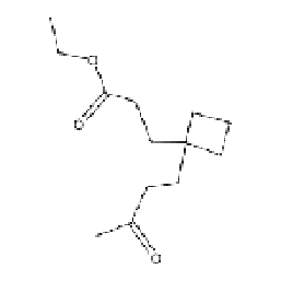 CCOC(=O)CCC1(CCC(C)=O)CCC1